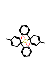 CC1=CCC(c2ccccc2)(S(=O)(=O)C2(c3ccccc3)C=CC(C)=CC2)C=C1